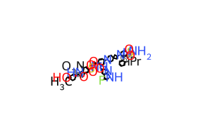 CC(C)c1ccccc1[C@H]1CN(S(N)(=O)=O)CCN1C1CC2(CCN(c3ccc(C(=O)NS(=O)(=O)c4cc5c(c([N+](=O)[O-])c4)N[C@@H]([C@H]4CC[C@](C)(O)CC4)CO5)c(Oc4cnc5[nH]cc(F)c5c4)c3)CC2)C1